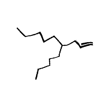 C=C[CH]C(CCCCC)CCCCC